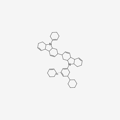 C1=C[C@H](C2=CC(C3CCCCC3)CC(N3C4CCC=CC4C4C=CC(C5C=CC6C7C=CCCC7N(C7=CCCCC7)C6C5)CC43)=C2)CCC1